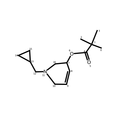 CC(C)(C)C(=O)OC1C=CCN(CC2CC2)C1